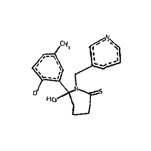 Cc1ccc(Cl)c(C2(O)CCC(=S)N2Cc2cccnc2)c1